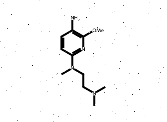 COc1nc(N(C)CCN(C)C)ccc1N